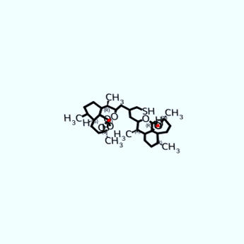 CC1CCC2[C@@H](C)C(CC(CS)CC3O[C@@H]4O[C@]5(C)CCC6[C@H](C)CCC([C@H]3C)C64OO5)O[C@@H]3O[C@]4(C)CC[C@@H]1C23OO4